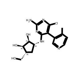 Cc1ccncc1-c1c(Cl)nc(N)nc1N[C@@H]1C[C@H](CO)[C@@H](O)[C@H]1O